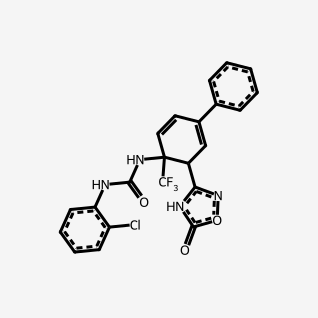 O=C(Nc1ccccc1Cl)NC1(C(F)(F)F)C=CC(c2ccccc2)=CC1c1noc(=O)[nH]1